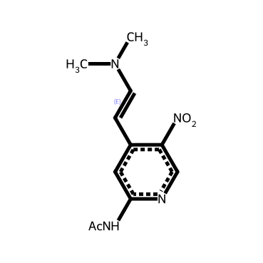 CC(=O)Nc1cc(/C=C/N(C)C)c([N+](=O)[O-])cn1